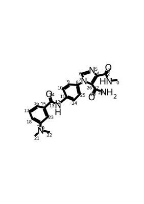 CNC(=O)c1ncn(-c2ccc(NC(=O)c3cccc(N(C)C)c3)cc2)c1C(N)=O